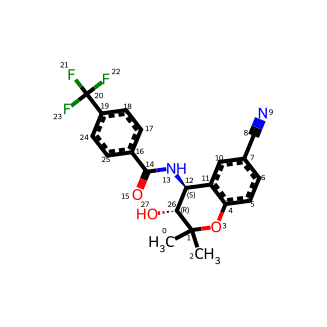 CC1(C)Oc2ccc(C#N)cc2[C@H](NC(=O)c2ccc(C(F)(F)F)cc2)[C@H]1O